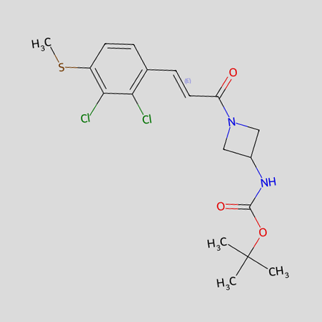 CSc1ccc(/C=C/C(=O)N2CC(NC(=O)OC(C)(C)C)C2)c(Cl)c1Cl